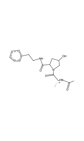 CC(=O)N[C@H](C)C(=O)N1CC(O)CC1C(=O)NCCc1ccccc1